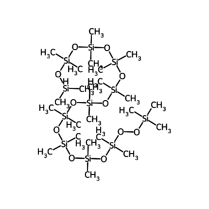 C[SiH](C)O[Si](C)(C)O[Si](C)(C)O[Si](C)(C)O[Si](C)(C)O[Si](C)(C)O[Si](C)(C)O[Si](C)(C)O[Si](C)(C)O[Si](C)(C)OO[Si](C)(C)C